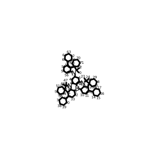 CC1(C)N(C2CC3=C4B(C5CC=C(C6CCCCC6)C6C5N3C(C)(C)C63CCCCC3)C3CCC(C5CCCCC5)C5C3N(C4C2)C(C)(C)C52CCCCC2)C2=CCCC(C3CCCCC3)=C2C12CCCCC2